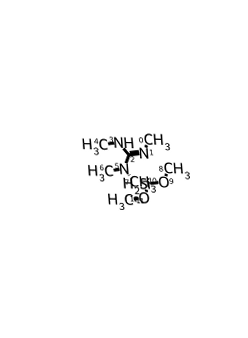 C/N=C(\NC)N(C)C.CO[SiH2]OC